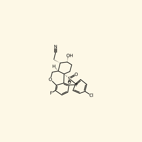 N#CC[C@@H]1[C@H](O)CC[C@@]2(S(=O)(=O)c3ccc(Cl)cc3)c3c(F)ccc(F)c3OC[C@@H]12